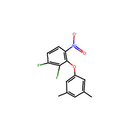 Cc1cc(C)cc(Oc2c([N+](=O)[O-])ccc(F)c2F)c1